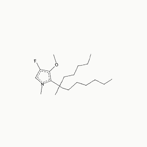 CCCCCCC(C)(CCCCC)c1c(OC)c(F)cn1C